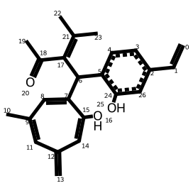 C=Cc1ccc(C(C2=CC(C)=CC(=C)C=C2O)C(C(C)=O)=C(C)C)c(O)c1